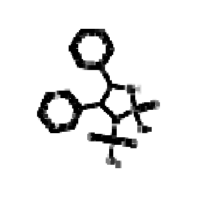 O=P1(O)NC(c2ccccc2)C(c2ccccc2)N1S(=O)(=O)C(F)(F)F